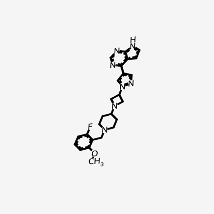 COc1cccc(F)c1CN1CCC(N2C[C](n3cc(-c4ncnc5[nH]ccc45)cn3)C2)CC1